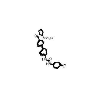 O=C(Nc1ccc(Cl)cc1)Nc1ccc(-c2ccc(C(=O)[C@@H]3CCC[C@H]3C(=O)O)cc2)cc1